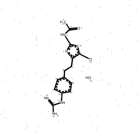 CC(=O)Nc1nc(CCc2ccc(NC(=N)N)cc2)c(Cl)s1.Cl